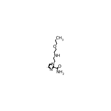 CCCOCCNCCn1c[c]nc1C(N)=O